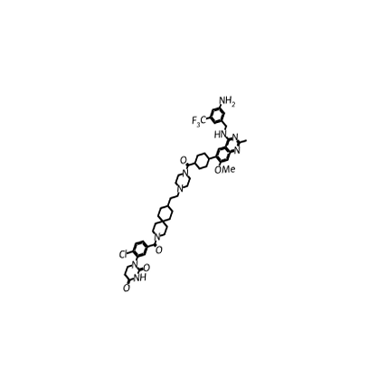 COc1cc2nc(C)nc(NCc3cc(N)cc(C(F)(F)F)c3)c2cc1C1CCC(C(=O)N2CCN(CCC3CCC4(CC3)CCN(C(=O)c3ccc(Cl)c(N5CCC(=O)NC5=O)c3)CC4)CC2)CC1